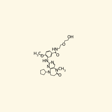 COc1ccc(C(=O)NCCOCCO)cc1Nc1ncc2c(n1)N(C1CCCC1)CCC(=O)N2C